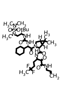 C=CCNC(=O)C(=O)C(CCC(C)(F)F)NC(=O)[C@@H]1[C@@H]2[C@H](CN1C(=O)[C@@H](NC(=O)N[C@H](CN(C)S(=O)(=O)N(C)C)C(C)(C)C)C1CCCCC1)C2(C)C